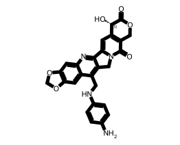 Nc1ccc(NCc2c3c(nc4cc5c(cc24)OCO5)-c2cc4c(c(=O)n2C3)COC(=O)[C@H]4O)cc1